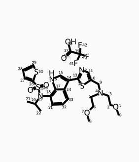 COCCN(CCOC)Cc1cnc(-c2c[nH]c3c(N(C(C)C)S(=O)(=O)c4cccs4)cccc23)s1.O=C(O)C(F)(F)F